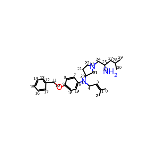 CC(C)=CCN(c1ccc(OCc2ccccc2)cc1)C1CCN(CC(N)CC(C)C)C1